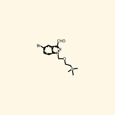 CS(C)(C)CCOCn1nc(C=O)c2cc(Br)ccc21